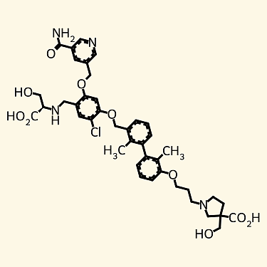 Cc1c(COc2cc(OCc3cncc(C(N)=O)c3)c(CN[C@H](CO)C(=O)O)cc2Cl)cccc1-c1cccc(OCCCN2CCC(CO)(C(=O)O)C2)c1C